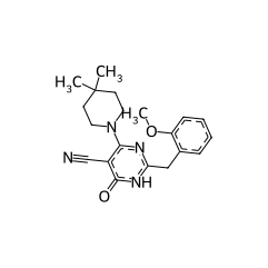 COc1ccccc1Cc1nc(N2CCC(C)(C)CC2)c(C#N)c(=O)[nH]1